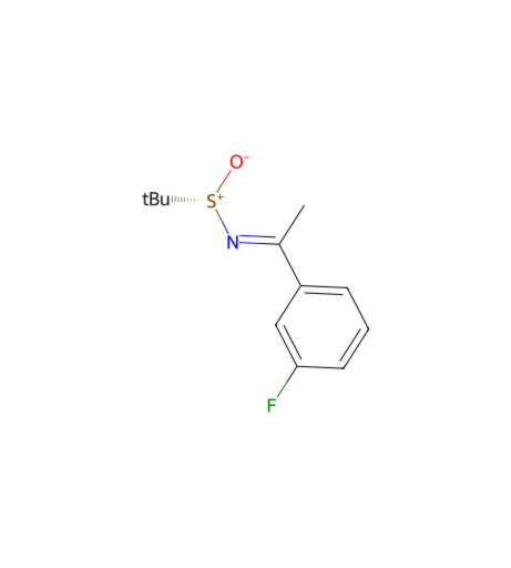 CC(=N[S@@+]([O-])C(C)(C)C)c1cccc(F)c1